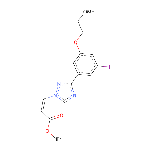 COCCOc1cc(I)cc(-c2ncn(/C=C\C(=O)OC(C)C)n2)c1